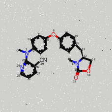 CN(c1ccc(Oc2ccc(C[C@H]3COC(=O)N3C)cc2)cc1)c1ncccc1C#N